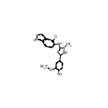 COc1cc(C2N=C(Nc3ccc4[nH]ncc4c3Cl)N(C)N2)ccc1O